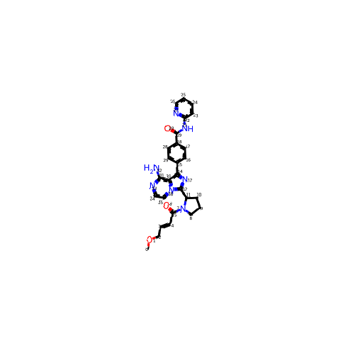 COC/C=C/C(=O)N1CCCC1c1nc(-c2ccc(C(=O)Nc3ccccn3)cc2)c2c(N)nccn12